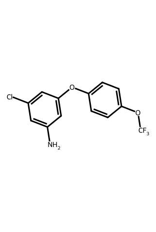 Nc1cc(Cl)cc(Oc2ccc(OC(F)(F)F)cc2)c1